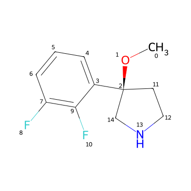 CO[C@@]1(c2cccc(F)c2F)CCNC1